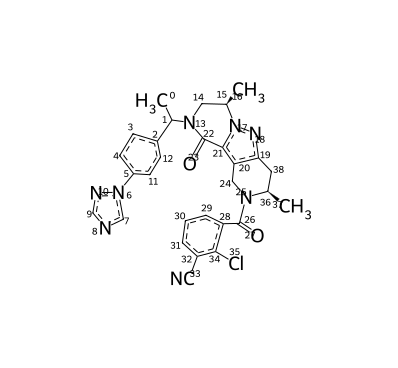 CC(c1ccc(-n2cncn2)cc1)N1C[C@@H](C)n2nc3c(c2C1=O)CN(C(=O)c1cccc(C#N)c1Cl)[C@H](C)C3